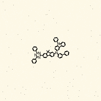 CC1(C)c2cc(-c3nc(-c4ccccc4)nc(-c4ccccc4)n3)ccc2-c2ccc(N(c3cccc(-c4ccccc4)c3)c3ccc4c(c3)c3ccccc3n4-c3ccccc3)cc21